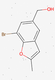 Cc1cc2cc(CO)cc(Br)c2o1